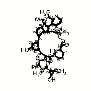 CCn1c(-c2cccnc2[C@H](C)OC)c2c3cc(ccc31)-c1cc(O)cc(c1)C[C@H](NC(=O)C(C(C)C)N(C)C(=O)[C@H]1[C@@H](C)[C@@H]1O)C(=O)N1CCC[C@H](N1)C(=O)OCC(C)(C)C2